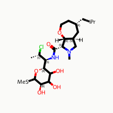 CSC1O[C@H]([C@H](NC(=O)[C@@H]2[C@@H]3OCC[C@H](CC(C)C)C[C@H]3CN2C)[C@H](C)Cl)C(O)C(O)[C@H]1O